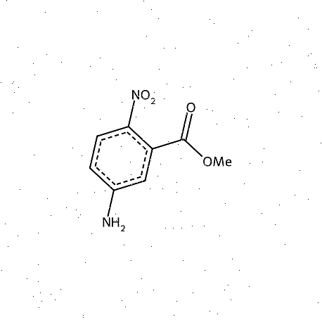 COC(=O)c1cc(N)ccc1[N+](=O)[O-]